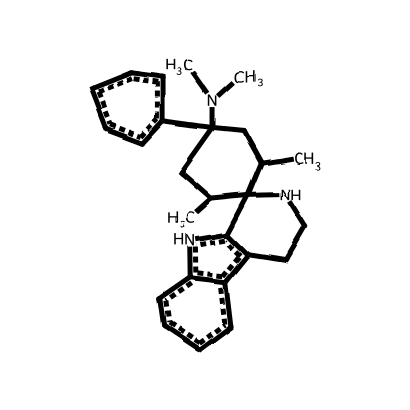 CC1CC(c2ccccc2)(N(C)C)CC(C)C12NCCc1c2[nH]c2ccccc12